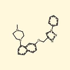 CN1CCN(c2cccc3ccc(OCc4cn(-c5ccccc5)nn4)cc23)CC1